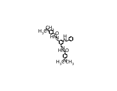 CN(C)c1ccc(C(=O)N/N=C/c2cc(/C=N/NC(=O)c3ccc(N(C)C)cc3)cc(NCc3ccccc3)c2)cc1